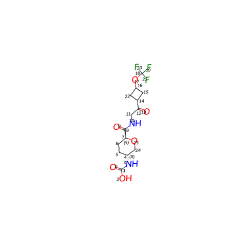 O=C(O)N[C@@H]1CC[C@@H](C(=O)NCC(=O)C2CC(OC(F)(F)F)C2)OC1